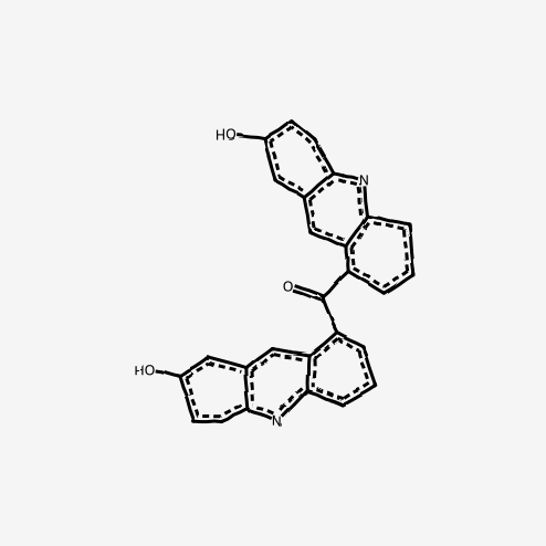 O=C(c1cccc2nc3ccc(O)cc3cc12)c1cccc2nc3ccc(O)cc3cc12